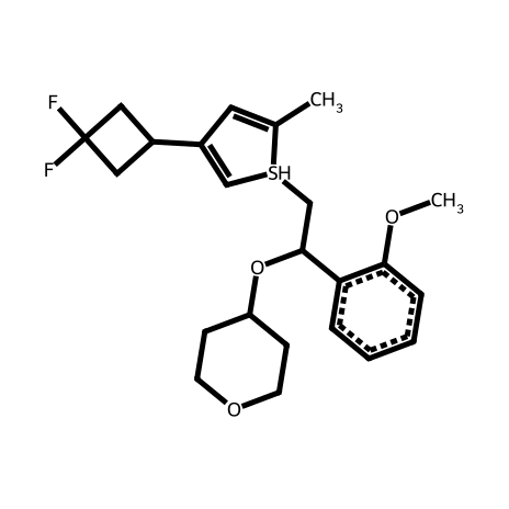 COc1ccccc1C(C[SH]1C=C(C2CC(F)(F)C2)C=C1C)OC1CCOCC1